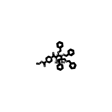 CC(C)(C)OC(=O)N1CCN(C(=O)[C@H](OCc2ccccc2)[C@@H](OCc2ccccc2)[C@H](OCc2ccccc2)[C@](O)(CO)COCc2ccccc2)CC1